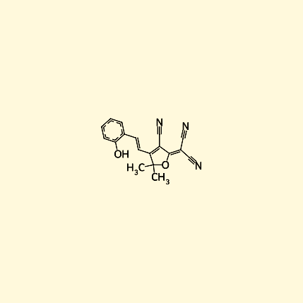 CC1(C)OC(=C(C#N)C#N)C(C#N)=C1/C=C/c1ccccc1O